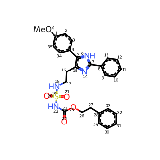 COc1ccc(-c2[nH]c(-c3ccccc3)nc2CCNS(=O)(=O)NC(=O)OCCc2ccccc2)cc1